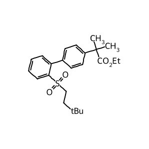 CCOC(=O)C(C)(C)c1ccc(-c2ccccc2S(=O)(=O)CCC(C)(C)C)cc1